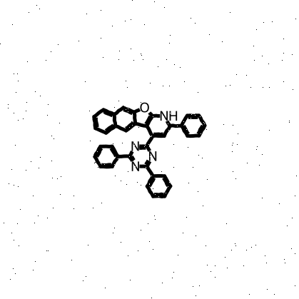 C1=C(c2nc(-c3ccccc3)nc(-c3ccccc3)n2)c2c(oc3cc4ccccc4cc23)NC1c1ccccc1